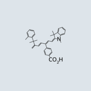 C=C(/C=C/C(=C/C=C1/N(C)c2ccccc2C1(C)C)c1ccc(C(=O)O)cc1)C(C)(C)c1ccccc1C